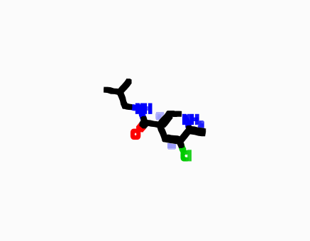 C=C(N)/C(Cl)=C\C(=C/C)C(=O)NCC(C)C